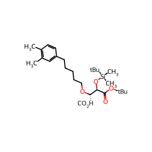 Cc1ccc(CCCCCO[C@@H](C(=O)O)[C@@H](O[Si](C)(C)C(C)(C)C)C(=O)OC(C)(C)C)cc1C